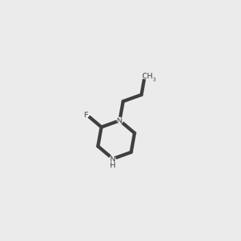 CCCN1CCNCC1F